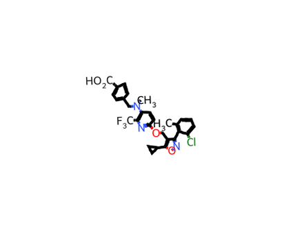 Cc1cccc(Cl)c1-c1noc(C2CC2)c1COc1ccc(N(C)Cc2ccc(C(=O)O)cc2)c(C(F)(F)F)n1